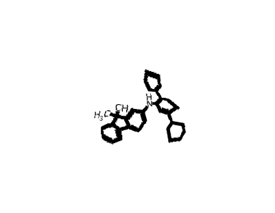 CC1(C)c2ccccc2-c2ccc(Nc3cc(C4CCCCC4)ccc3-c3ccccc3)cc21